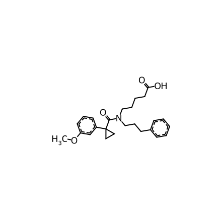 COc1cccc(C2(C(=O)N(CCCCC(=O)O)CCCc3ccccc3)CC2)c1